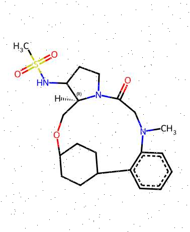 CN1CC(=O)N2CCC(NS(C)(=O)=O)[C@@H]2COC2CCC(CC2)c2ccccc21